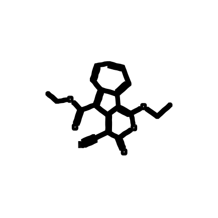 CCOC(=O)c1c2cccccc-2c2c(OCC)oc(=O)c(C#N)c12